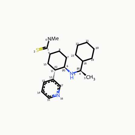 CNC=S.C[C@@H](N[C@@H]1CCCC[C@H]1c1cccnc1)C1CCCCC1